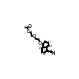 CC(=O)OCCOCCOc1cccc2c(C#N)cccc12